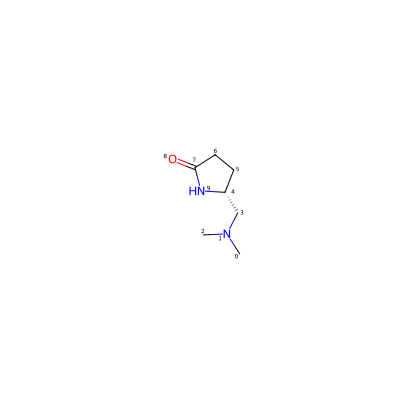 CN(C)C[C@H]1CCC(=O)N1